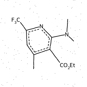 CCOC(=O)c1c(C)cc(C(F)(F)F)nc1N(C)C